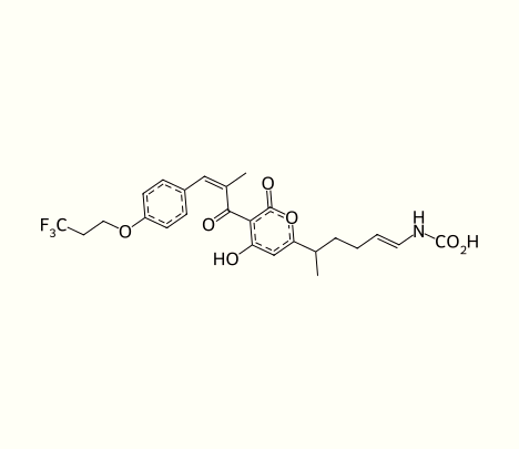 CC(=Cc1ccc(OCCC(F)(F)F)cc1)C(=O)c1c(O)cc(C(C)CCC=CNC(=O)O)oc1=O